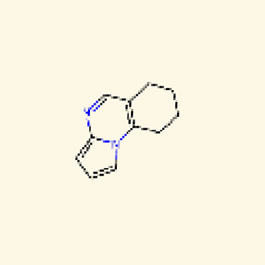 c1cc2ncc3c(n2c1)CCCC3